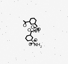 CC(=O)C1CCCC(CS(=O)(=O)NC(=O)C2CCCC(S(N)(=O)=O)C2)C1